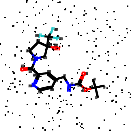 CC(C)(C)OC(=O)NCc1ccnc(C(=O)N2CCC(O)(C(F)(F)F)C2)c1